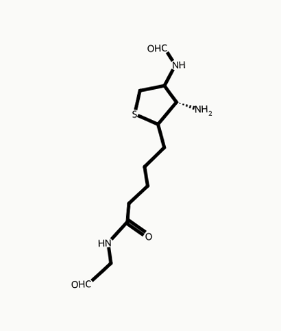 N[C@H]1C(NC=O)CSC1CCCCC(=O)NCC=O